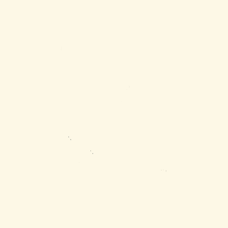 CCCCCCc1ccc(-n2ccnc2)cc1.FC(F)(F)C=CCCB(c1ccccc1)c1ccccc1